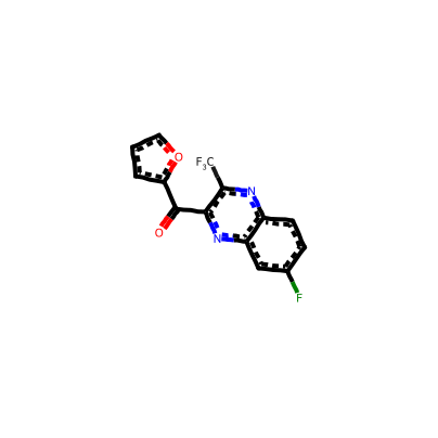 O=C(c1ccco1)c1nc2cc(F)ccc2nc1C(F)(F)F